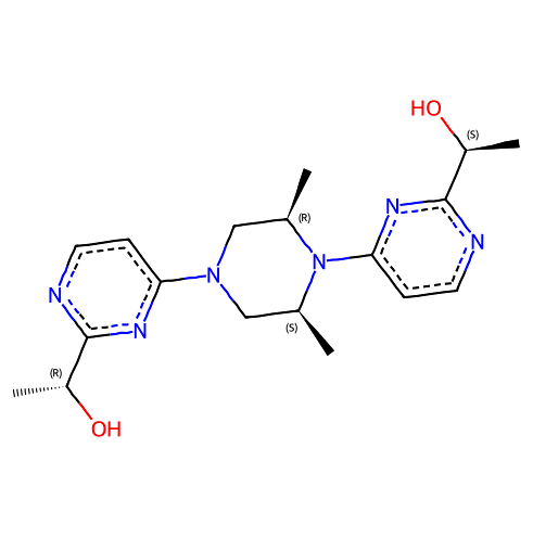 C[C@H](O)c1nccc(N2[C@H](C)CN(c3ccnc([C@@H](C)O)n3)C[C@@H]2C)n1